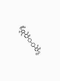 CCCCOc1ccc(-c2ccc(C3CCC(C4CC=C(c5ccc(OCC)c(F)c5F)CC4)CC3)c(F)c2F)c(F)c1F